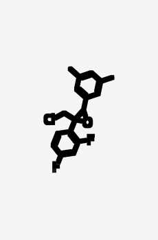 Cc1cc(C)cc(C2OC2(CCl)c2ccc(F)cc2F)c1